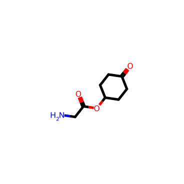 NCC(=O)OC1CCC(=O)CC1